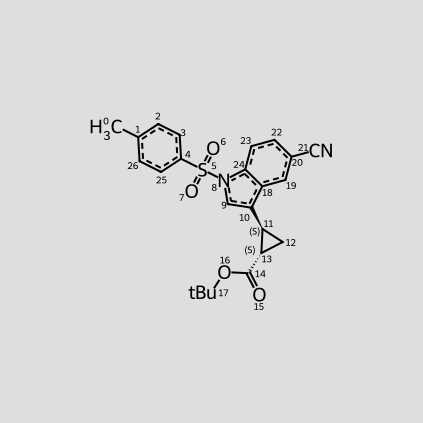 Cc1ccc(S(=O)(=O)n2cc([C@H]3C[C@@H]3C(=O)OC(C)(C)C)c3cc(C#N)ccc32)cc1